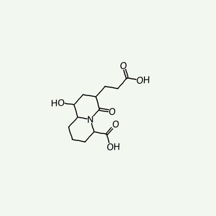 O=C(O)CCC1CC(O)C2CCCC(C(=O)O)N2C1=O